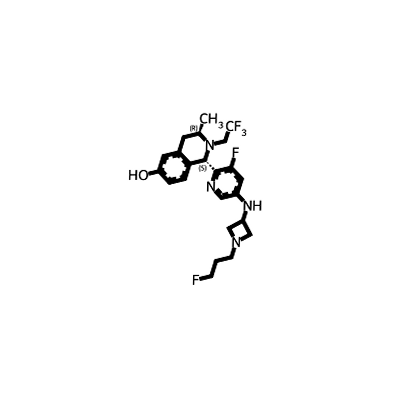 C[C@@H]1Cc2cc(O)ccc2[C@@H](c2ncc(NC3CN(CCCF)C3)cc2F)N1CC(F)(F)F